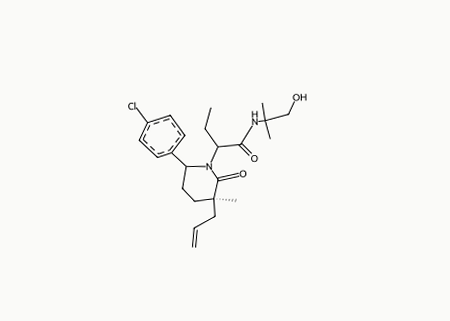 C=CC[C@@]1(C)CCC(c2ccc(Cl)cc2)N(C(CC)C(=O)NC(C)(C)CO)C1=O